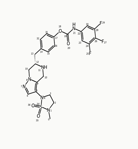 CN1CCN(c2cnn3c2CN[C@@H](Cc2ccc(OC(=O)Nc4cc(F)c(F)c(F)c4)cc2)C3)S1(=O)=O